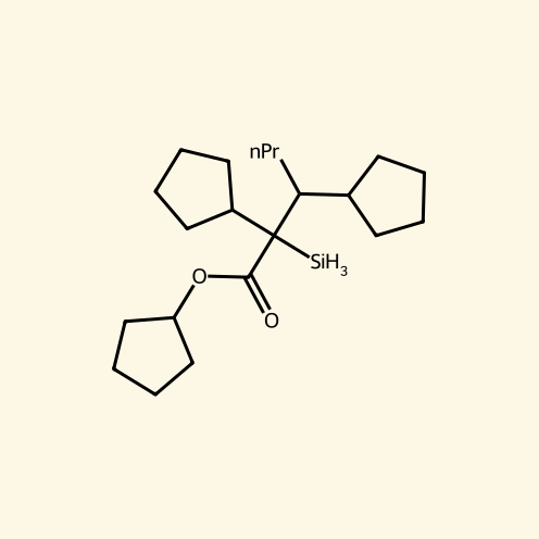 CCCC(C1CCCC1)C([SiH3])(C(=O)OC1CCCC1)C1CCCC1